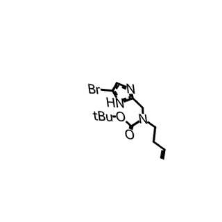 C=CCCN(Cc1ncc(Br)[nH]1)C(=O)OC(C)(C)C